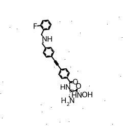 NC[C@H](NC(=O)c1ccc(C#Cc2ccc(CNCc3ccccc3F)cc2)cc1)C(=O)NO